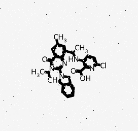 Cc1cc([C@@H](C)Nc2ccc(Cl)nc2C(=O)O)c2nc(N3Cc4ccccc4C3)n(C(C)C)c(=O)c2c1